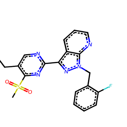 CCc1cnc(-c2nn(Cc3ccccc3F)c3ncccc23)nc1S(C)(=O)=O